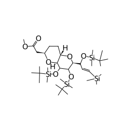 COC(=O)C[C@H]1CC[C@@H]2O[C@@H](C(/C=C/[Si](C)(C)C)O[Si](C)(C)C(C)(C)C)C(O[Si](C)(C)C(C)(C)C)C(O[Si](C)(C)C(C)(C)C)[C@H]2O1